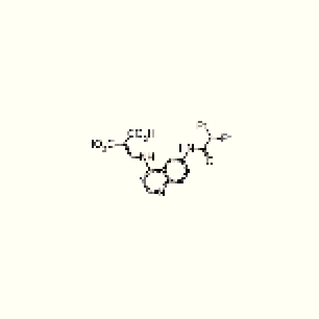 CCC(CC)C(=O)Nc1ccc2ncnc(NC=C(C(=O)O)C(=O)O)c2c1